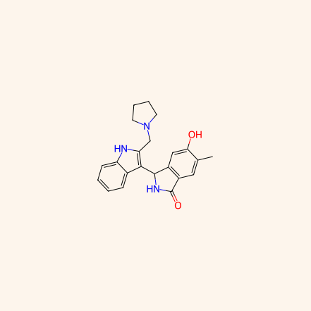 Cc1cc2c(cc1O)C(c1c(CN3CCCC3)[nH]c3ccccc13)NC2=O